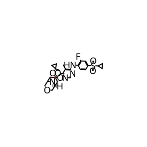 Cc1c(Nc2ccc(S(=O)(=O)C3CC3)cc2F)ncnc1OC1CC2COC[C@@H](C1)N2C(=O)OC1(C)CC1